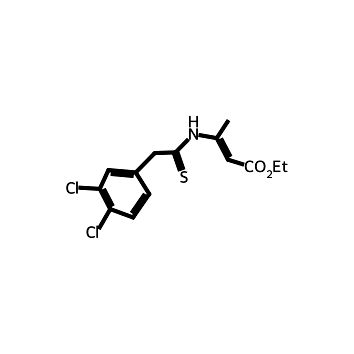 CCOC(=O)C=C(C)NC(=S)Cc1ccc(Cl)c(Cl)c1